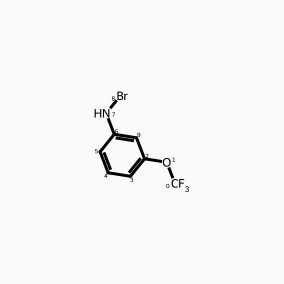 FC(F)(F)Oc1cccc(NBr)c1